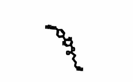 CCCCCCCCCc1ccc(-c2ncc(OC(=O)CCCCC(C)CC)cn2)cc1